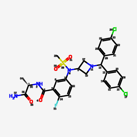 C[C@H](NC(=O)c1cc(N(C2CN(C(c3ccc(Cl)cc3)c3ccc(Cl)cc3)C2)S(C)(=O)=O)ccc1F)C(N)=O